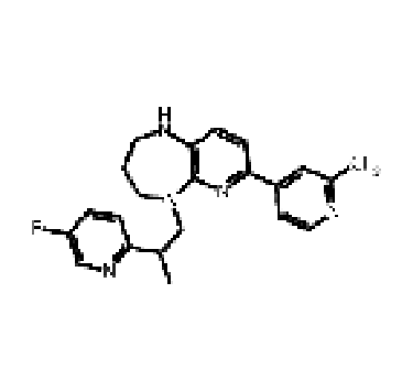 CC(CN1CCCNc2ccc(-c3ccnc(C(F)(F)F)c3)nc21)c1ccc(F)cn1